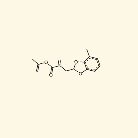 C=C(C)OC(=O)NCC1Oc2cccc(C)c2O1